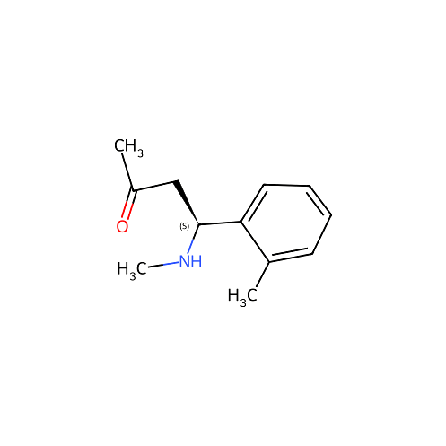 CN[C@@H](CC(C)=O)c1ccccc1C